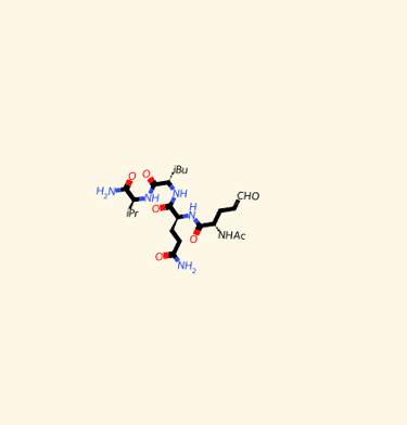 CCC(C)[C@H](NC(=O)[C@H](CCC(N)=O)NC(=O)[C@H](CCC=O)NC(C)=O)C(=O)N[C@H](C(N)=O)C(C)C